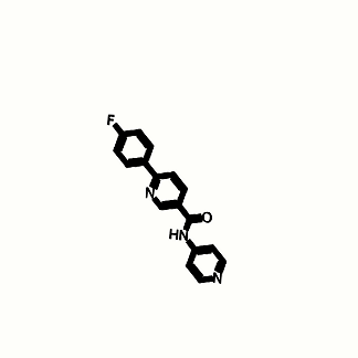 O=C(Nc1ccncc1)c1ccc(-c2ccc(F)cc2)nc1